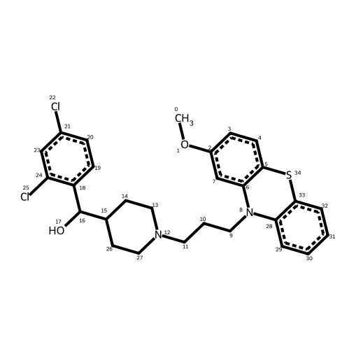 COc1ccc2c(c1)N(CCCN1CCC(C(O)c3ccc(Cl)cc3Cl)CC1)c1ccccc1S2